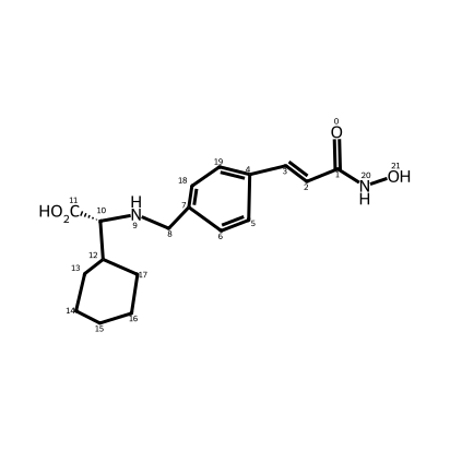 O=C(C=Cc1ccc(CN[C@@H](C(=O)O)C2CCCCC2)cc1)NO